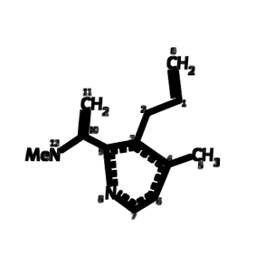 C=CCc1c(C)ccnc1C(=C)NC